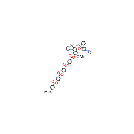 CCCCCCc1ccc(C(=O)Oc2ccc(C(=O)Oc3ccc(C(=O)Oc4ccc(C(=O)Oc5cc6c7c(c8c(c6cc5OC)OC(c5ccccc5)(c5ccc(N6CCCC6)cc5)C=C8)C(C)(C)c5ccccc5-7)cc4)cc3)cc2)cc1